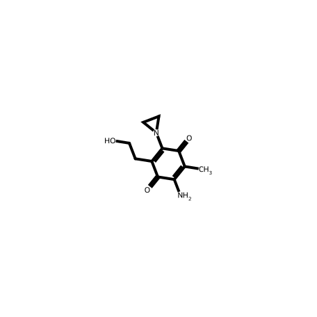 CC1=C(N)C(=O)C(CCO)=C(N2CC2)C1=O